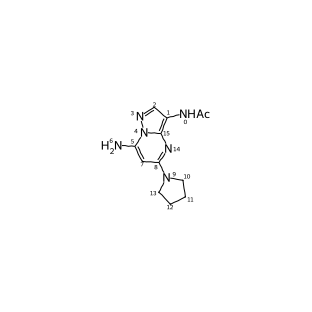 CC(=O)Nc1cnn2c(N)cc(N3CCCC3)nc12